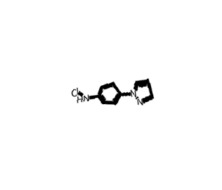 ClNc1ccc(-n2cccn2)cc1